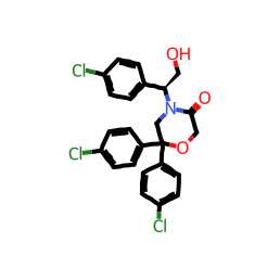 O=C1COC(c2ccc(Cl)cc2)(c2ccc(Cl)cc2)CN1[C@H](CO)c1ccc(Cl)cc1